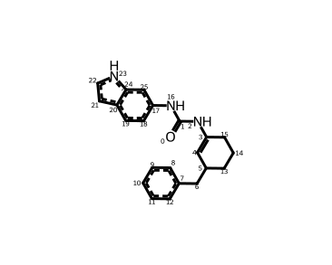 O=C(NC1=CC(Cc2ccccc2)CCC1)Nc1ccc2cc[nH]c2c1